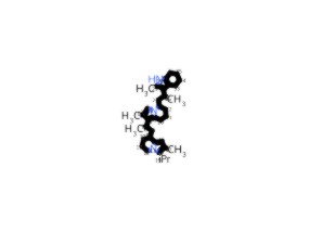 Cc1cn2c(c1C(C)CC1CCCn3c1cc(C)c3C(C)C)CCCC2CC(C)c1c(C)[nH]c2c1CCCC2